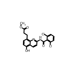 COC(=O)CCc1ccc(O)c2ccc(NC(=O)c3c(Cl)cccc3Cl)nc12